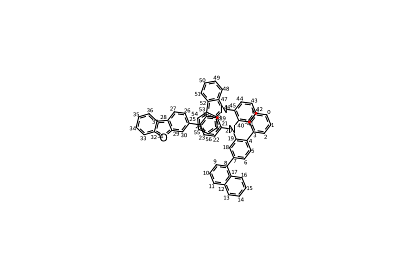 c1ccc(-c2ccc(-c3cccc4ccccc34)cc2N(c2ccc(-c3ccc4c(c3)oc3ccccc34)cc2)c2ccccc2-n2c3ccccc3c3ccccc32)cc1